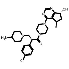 C[C@@H]1C[C@@H](O)c2ncnc(N3CCN(C(=O)[C@H](CN4CCC(N)CC4)c4ccc(Cl)cc4)CC3)c21